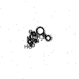 BC1(COC2(C)CCCCCCCC(N3CC(=O)N(Cc4nc5ccc(C(=O)O)cc5n4Cc4cncn4CC)CC3=O)CCC2)CCCCCCC1